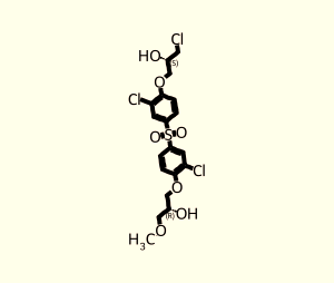 COC[C@@H](O)COc1ccc(S(=O)(=O)c2ccc(OC[C@H](O)CCl)c(Cl)c2)cc1Cl